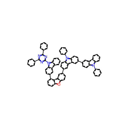 c1ccc(-c2nc(-c3ccccc3)nc(-n3c4ccccc4c4cc(-c5cccc6oc7ccc(-c8ccc9c(c8)c8cc(-c%10ccc%11c(c%10)c%10ccccc%10n%11-c%10ccccc%10)ccc8n9-c8ccccc8)cc7c56)ccc43)n2)cc1